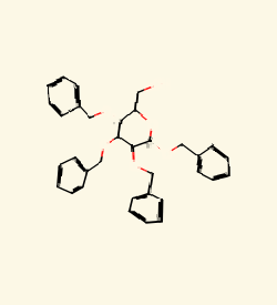 OCC1O[C@@H](OCc2ccccc2)C(OCc2ccccc2)C(OCc2ccccc2)[C@@H]1OCc1ccccc1